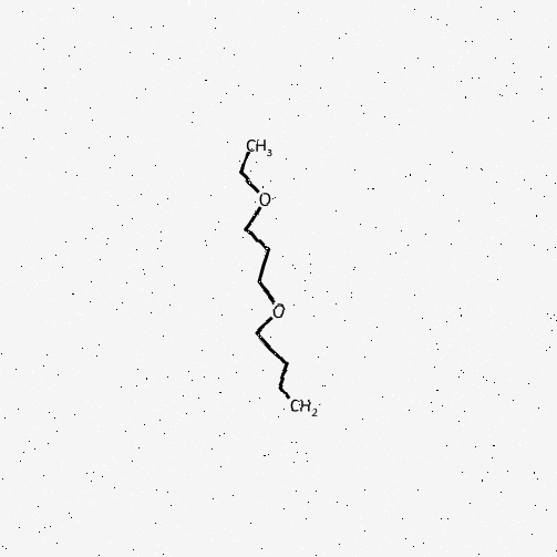 [CH2]CCCOCCCOCC